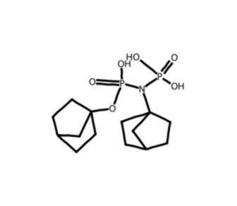 O=P(O)(O)N(C12CCC(CC1)C2)P(=O)(O)OC12CCC(CC1)C2